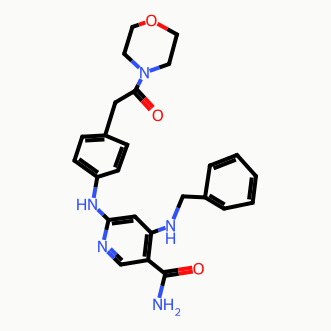 NC(=O)c1cnc(Nc2ccc(CC(=O)N3CCOCC3)cc2)cc1NCc1ccccc1